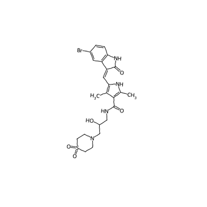 Cc1[nH]c(/C=C2\C(=O)Nc3ccc(Br)cc32)c(C)c1C(=O)NCC(O)CN1CCS(=O)(=O)CC1